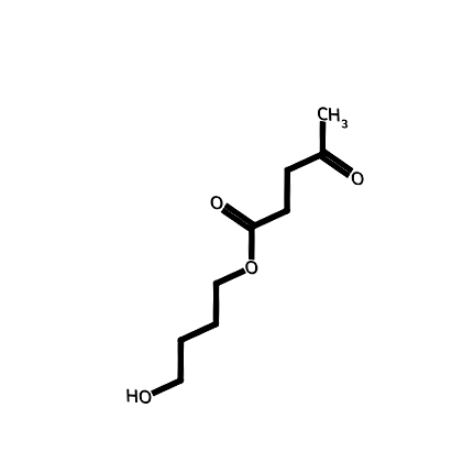 CC(=O)CCC(=O)OCCCCO